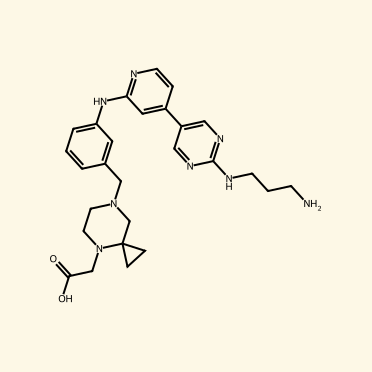 NCCCNc1ncc(-c2ccnc(Nc3cccc(CN4CCN(CC(=O)O)C5(CC5)C4)c3)c2)cn1